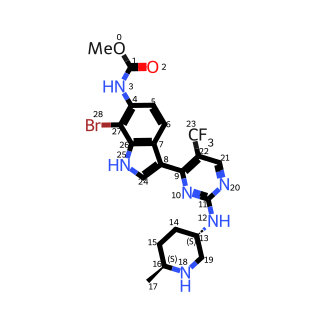 COC(=O)Nc1ccc2c(-c3nc(N[C@H]4CC[C@H](C)NC4)ncc3C(F)(F)F)c[nH]c2c1Br